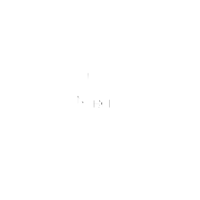 C=CCN(C)C.CCCCCCCCCCCCCCCCCC.Cl